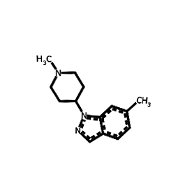 Cc1ccc2cnn(C3CCN(C)CC3)c2c1